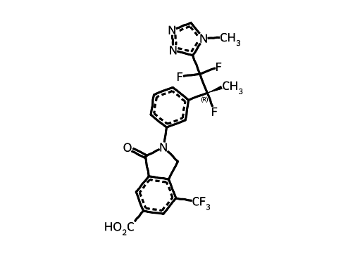 Cn1cnnc1C(F)(F)[C@](C)(F)c1cccc(N2Cc3c(cc(C(=O)O)cc3C(F)(F)F)C2=O)c1